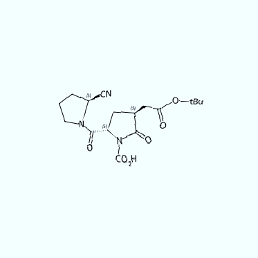 CC(C)(C)OC(=O)C[C@@H]1C[C@@H](C(=O)N2CCC[C@H]2C#N)N(C(=O)O)C1=O